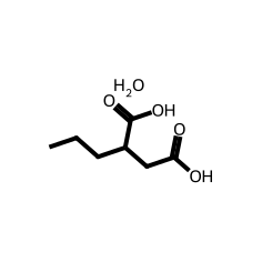 CCCC(CC(=O)O)C(=O)O.O